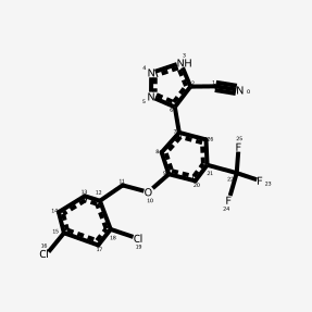 N#Cc1[nH]nnc1-c1cc(OCc2ccc(Cl)cc2Cl)cc(C(F)(F)F)c1